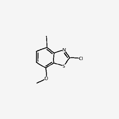 COc1ccc(C)c2nc(Cl)sc12